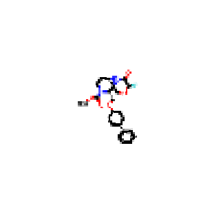 CC(C)(C)OC(=O)N1CCC[C@@]2(COC(F)C(=O)N2)[C@@H]1CO[C@H]1CC[C@@H](c2ccccc2)CC1